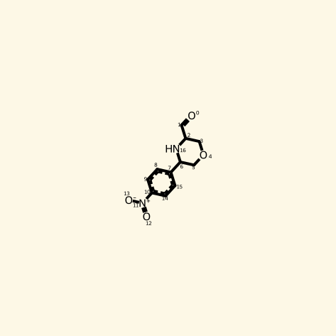 O=CC1COCC(c2ccc([N+](=O)[O-])cc2)N1